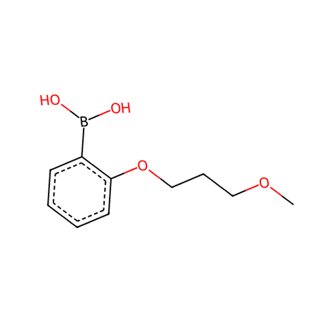 COCCCOc1ccccc1B(O)O